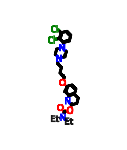 CCN(CC)C(=O)OC1=Nc2cc(OCCCCN3CCN(c4cccc(Cl)c4Cl)CC3)ccc2CC1